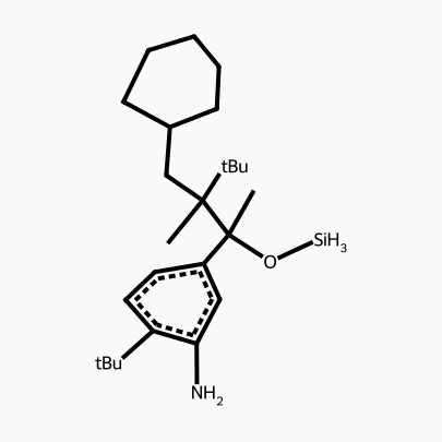 CC(C)(C)c1ccc(C(C)(O[SiH3])C(C)(CC2CCCCC2)C(C)(C)C)cc1N